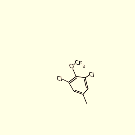 Cc1cc(Cl)c(OC(F)(F)F)c(Cl)c1